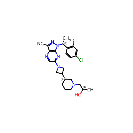 C[C@H](c1ccc(Cl)cc1Cl)n1nc(C#N)c2ncc(N3CC([C@@H]4CCCN(C[C@@H](C)O)C4)C3)nc21